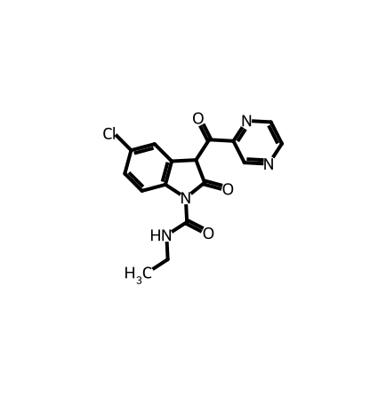 CCNC(=O)N1C(=O)C(C(=O)c2cnccn2)c2cc(Cl)ccc21